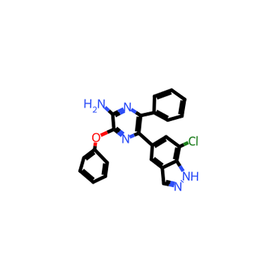 Nc1nc(-c2ccccc2)c(-c2cc(Cl)c3[nH]ncc3c2)nc1Oc1ccccc1